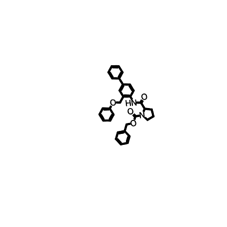 O=C(Nc1ccc(-c2ccccc2)cc1COc1ccccc1)C1CCCN1C(=O)OCc1ccccc1